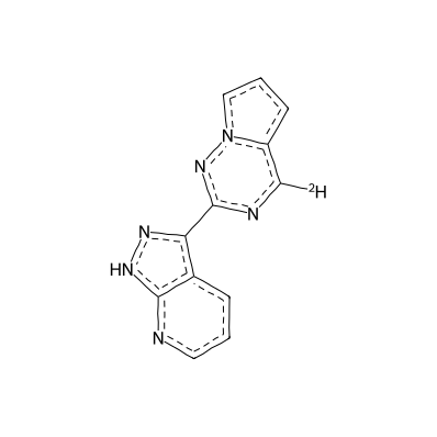 [2H]c1nc(-c2n[nH]c3ncccc23)nn2cccc12